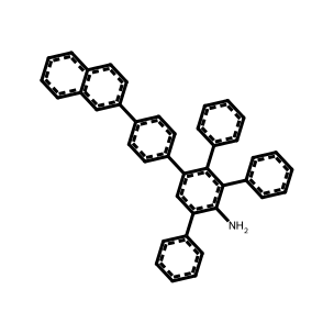 Nc1c(-c2ccccc2)cc(-c2ccc(-c3ccc4ccccc4c3)cc2)c(-c2ccccc2)c1-c1ccccc1